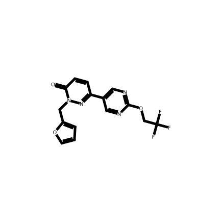 O=c1ccc(-c2cnc(OCC(F)(F)F)nc2)nn1Cc1ccco1